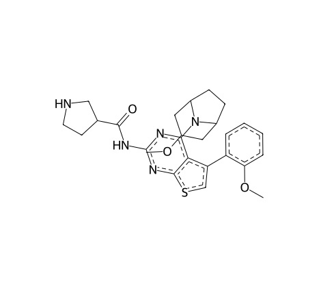 COc1ccccc1-c1csc2nc(NC(=O)C3CCNC3)nc(N3C4CCC3CC(OC)C4)c12